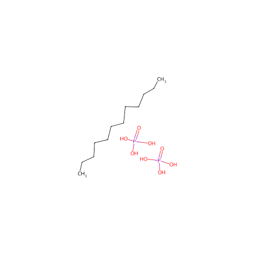 CCCCCCCCCCCC.O=P(O)(O)O.O=P(O)(O)O